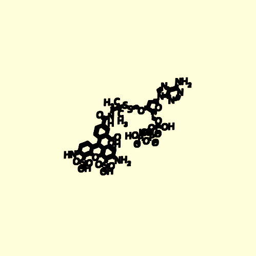 CC(C)(CNC(=O)c1ccc(-c2c3ccc(=N)c(S(=O)(=O)O)c-3oc3c(S(=O)(=O)O)c(N)ccc23)c(C(=O)O)c1)SSCO[C@@H]1C[C@H](n2cnc3c(N)ncnc32)O[C@@H]1COP(=O)(O)OP(=O)(O)OP(=O)(O)O